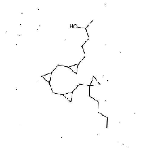 CCCCCC1(CC2CC2CC2CC2CC2CC2CCCC(C)O)CC1